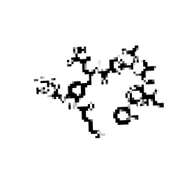 CC[C@H](C)C(NC(=O)[C@H]1CCCCN1C)C(=O)N(C)[C@H](C[C@@H](OC(C)=O)c1nc(C(=O)N[C@@H](Cc2ccc(OC(=O)OP(=O)(O)O)c(NC(=O)CCCS)c2)CC(C)C(=O)O)cs1)C(C)C